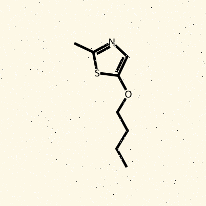 CCCCOc1cnc(C)s1